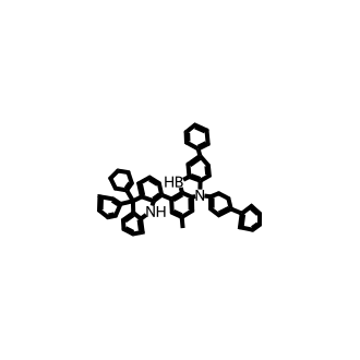 Cc1cc(-c2cccc3c2Nc2ccccc2C3(C2=CCCCC2)c2ccccc2)c2c(c1)N(C1=CC=C(c3ccccc3)CC1)c1ccc(-c3ccccc3)cc1B2